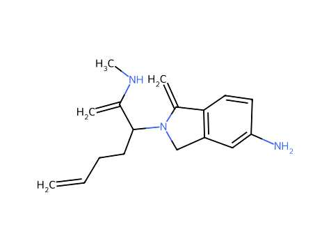 C=CCCC(C(=C)NC)N1Cc2cc(N)ccc2C1=C